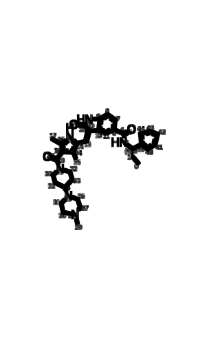 CC[C@H](NC(=O)c1ccc2c(c1)C(=Cc1[nH]c(C)c(C(=O)N3CCC(N4CCN(C)CC4)CC3)c1C)C(=O)N2)c1ccccc1